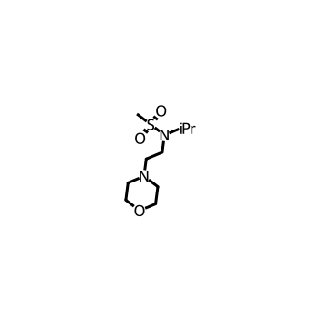 CC(C)N(CCN1CCOCC1)S(C)(=O)=O